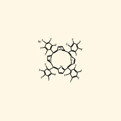 Fc1c(F)c(F)c(-c2c3nc(c(-c4c(F)c(F)c(F)c(F)c4F)c4ccc([nH]4)c(-c4c(F)c(F)c(F)c(F)c4F)c4nc(c(-c5c(F)c(F)c(F)c(F)c5F)c5ccc2[nH]5)C=C4)C=C3)c(F)c1F.[Ni]